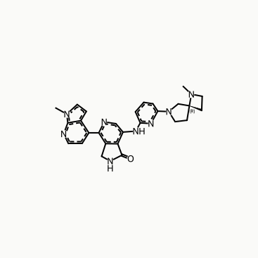 CN1CC[C@]12CCN(c1cccc(Nc3cnc(-c4ccnc5c4ccn5C)c4c3C(=O)NC4)n1)C2